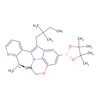 CO[C@@H](C)c1ncccc1-c1c(CC(C)(C)COC(C)=O)c2cc(B3OC(C)(C)C(C)(C)O3)cc3c2n1CCO3